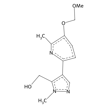 COCOc1ccc(-c2cnn(C)c2CO)nc1C